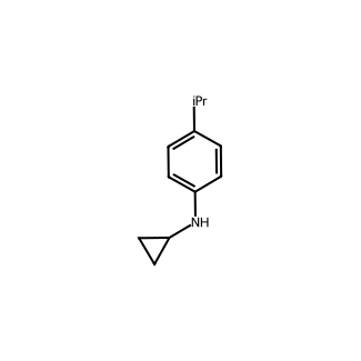 CC(C)c1ccc(NC2CC2)cc1